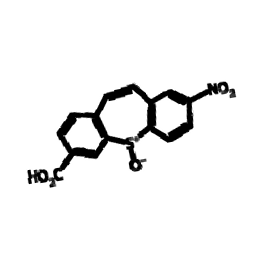 O=C(O)c1ccc2c(c1)[S+]([O-])c1ccc([N+](=O)[O-])cc1C=C2